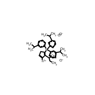 CCC(C)C1=C([Si](c2cccc(C(C)C)c2)(c2cccc(C(C)C)c2)c2cccc(C(C)C)c2)CC=[C]1[Ti+3].[Cl-].[Cl-].[Cl-]